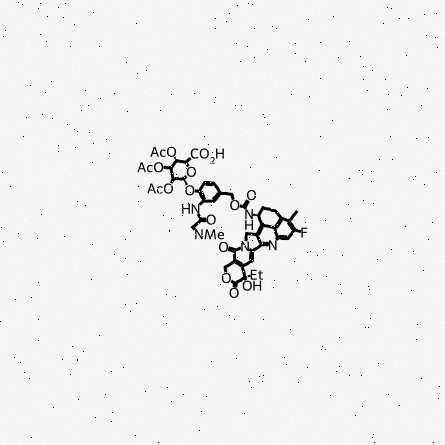 CC[C@@]1(O)C(=O)OCc2c1cc1n(c2=O)Cc2c-1nc1cc(F)c(C)c3c1c2[C@@H](NC(=O)OCc1ccc(O[C@@H]2OC(C(=O)O)[C@@H](OC(C)=O)C(OC(C)=O)C2OC(C)=O)c(NC(=O)CNC)c1)CC3